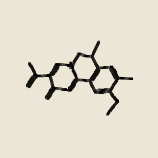 C=C(C)C1=CN2CC(C)c3cc(C)c(CC)cc3C2=CC1=C